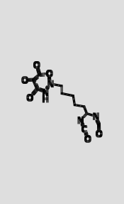 O=C=NC(CCCCCn1[nH]c(=O)c(=O)c(=O)o1)N=C=O